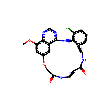 COc1cc2cc3c(ncnc13)/N=c1\c(Cl)ccc\c1=C\NC(=O)/C=C/[N]C(=O)CO2